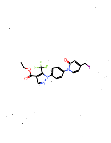 CCOC(=O)c1cnn(-c2ccc(-n3ccc(CI)cc3=O)cc2)c1C(F)(F)F